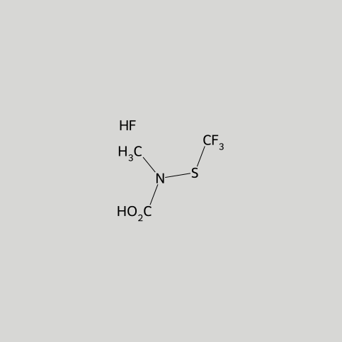 CN(SC(F)(F)F)C(=O)O.F